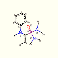 CC=C(N(C)c1ccccc1)P(=O)(N(C)C)N(C)C